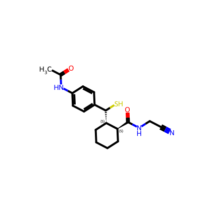 CC(=O)Nc1ccc(C(S)[C@H]2CCCC[C@@H]2C(=O)NCC#N)cc1